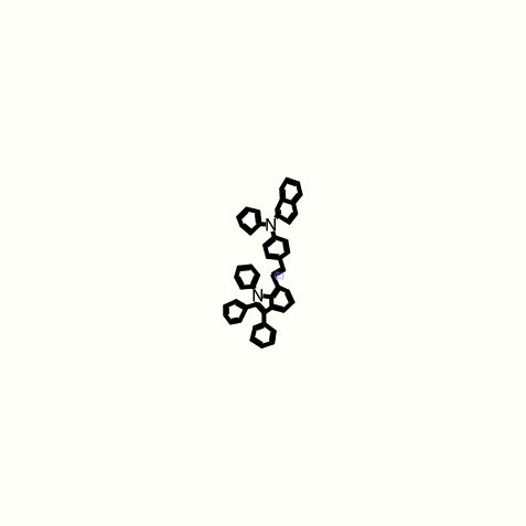 C(=C\c1cccc2c(-c3ccccc3)c(-c3ccccc3)n(-c3ccccc3)c12)/c1ccc(N(c2ccccc2)c2ccc3ccccc3c2)cc1